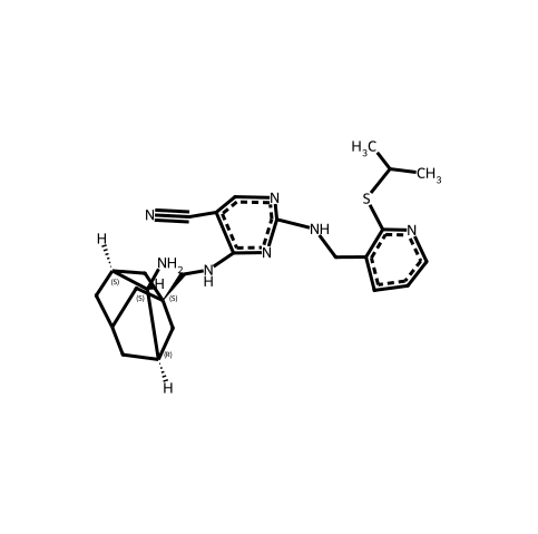 CC(C)Sc1ncccc1CNc1ncc(C#N)c(NC[C@]23CC4C[C@H](C2)[C@@H](N)[C@@H](C4)C3)n1